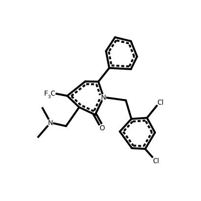 CN(C)Cc1c(C(F)(F)F)cc(-c2ccccc2)n(Cc2ccc(Cl)cc2Cl)c1=O